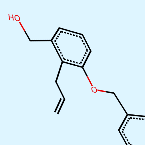 C=CCc1c(CO)cccc1OCc1ccccc1